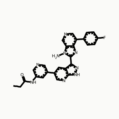 CCC(=O)Nc1cncc(-c2cnc3[nH]nc(-c4nc5c(-c6ccc(F)cc6)cncc5n4N)c3c2)c1